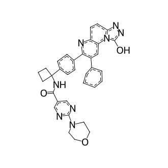 O=C(NC1(c2ccc(-c3nc4ccc5nnc(O)n5c4cc3-c3ccccc3)cc2)CCC1)c1cnc(N2CCOCC2)nc1